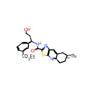 CCOC(=O)c1cccc(C(CCO)NC(=O)c2nc3cc4c(nc3s2)CC[C@H](C(C)(C)C)C4)c1